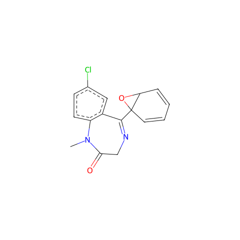 CN1C(=O)CN=C(C23C=CC=CC2O3)c2cc(Cl)ccc21